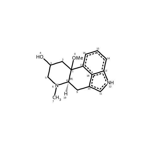 COC12CC(O)CN(C)[C@@H]1Cc1c[nH]c3cccc2c13